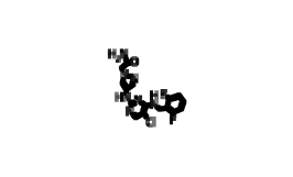 NC(=O)Cn1cc(Nc2ncc(Cl)c(NCc3c(F)cccc3F)n2)cn1